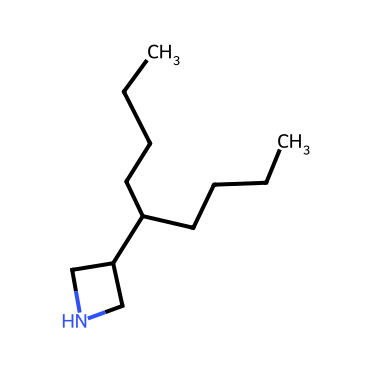 CCCCC(CCCC)C1CNC1